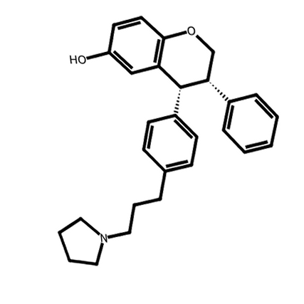 Oc1ccc2c(c1)[C@@H](c1ccc(CCCN3CCCC3)cc1)[C@@H](c1ccccc1)CO2